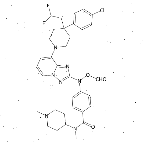 CN1CCC(N(C)C(=O)c2ccc(N(OC=O)c3nc4c(N5CCC(CC(F)F)(c6ccc(Cl)cc6)CC5)cccn4n3)cc2)CC1